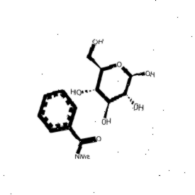 CNC(=O)c1ccccc1.OC[C@H]1O[C@@H](O)[C@H](O)[C@@H](O)[C@@H]1O